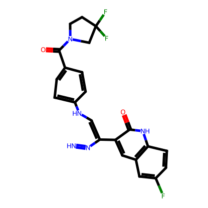 N=N/C(=C\Nc1ccc(C(=O)N2CCC(F)(F)C2)cc1)c1cc2cc(F)ccc2[nH]c1=O